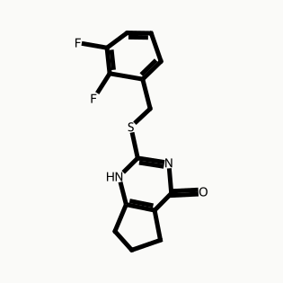 O=c1nc(SCc2cccc(F)c2F)[nH]c2c1CCC2